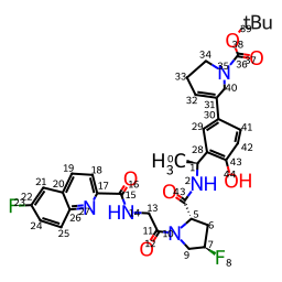 C[C@H](NC(=O)[C@@H]1C[C@@H](F)CN1C(=O)CNC(=O)c1ccc2cc(F)ccc2n1)c1cc(C2=CCCN(C(=O)OC(C)(C)C)C2)ccc1O